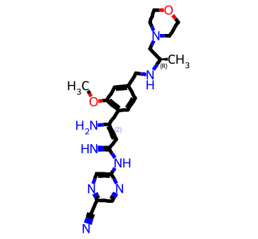 COc1cc(CN[C@H](C)CN2CCOCC2)ccc1/C(N)=C/C(=N)Nc1cnc(C#N)cn1